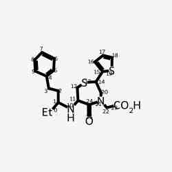 CCC(CCc1ccccc1)NC1CSC(c2cccs2)CN(CC(=O)O)C1=O